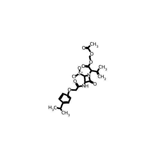 C=C(C)C(C(=O)OCOC(C)=O)N1C(=O)C(NC(=O)COc2ccc(C(C)C)cc2)C1[S+]([O-])Cl